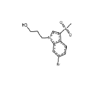 CS(=O)(=O)c1cn(CCCO)c2cc(Br)ccc12